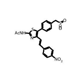 CC(=O)Nc1nc(/C=C/c2ccc([N+](=O)[O-])cc2)c(-c2ccc(C[SH](=O)=O)cc2)s1